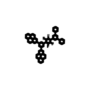 Fc1c(F)c(-c2cc(-c3cc4ccc5cccc6ccc(c3)c4c56)cc(-c3cc4ccc5cccc6ccc(c3)c4c56)c2)c(F)c(F)c1-c1cc(-c2ccccc2)cc(-c2ccccc2)c1